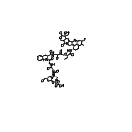 CC[C@@H](OCNC(=O)CNC(=O)[C@H](Cc1ccccc1)NC(=O)CNC(=O)CNC(=O)[C@H](CNCC(=O)O)N1CC(C=O)=CC1=O)C(=O)N[C@H]1CCc2c(C)c(F)cc3nc4c(c1c23)Cn1c-4cc2c(c1=O)COC(=O)[C@]2(O)CC